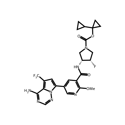 COc1ncc(-c2cc(C(F)(F)F)c3c(N)ncnn23)cc1C(=O)N[C@@H]1CN(C(=O)OC2(C3CC3)CC2)C[C@@H]1F